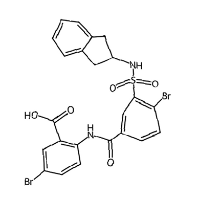 O=C(Nc1ccc(Br)cc1C(=O)O)c1ccc(Br)c(S(=O)(=O)NC2Cc3ccccc3C2)c1